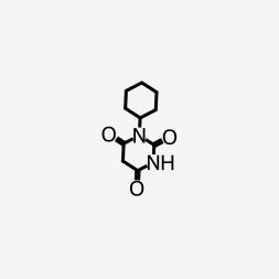 O=C1CC(=O)N(C2CCCCC2)C(=O)N1